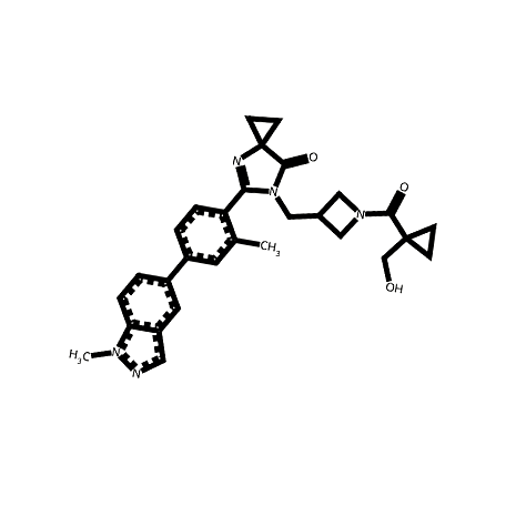 Cc1cc(-c2ccc3c(cnn3C)c2)ccc1C1=NC2(CC2)C(=O)N1CC1CN(C(=O)C2(CO)CC2)C1